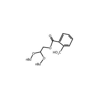 CCCCOC(COC(=O)c1ccccc1C(=O)O)OCCCC